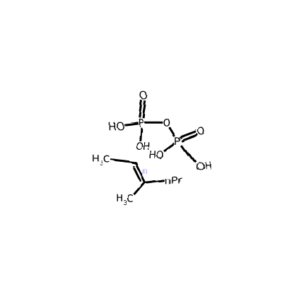 C/C=C(\C)CCC.O=P(O)(O)OP(=O)(O)O